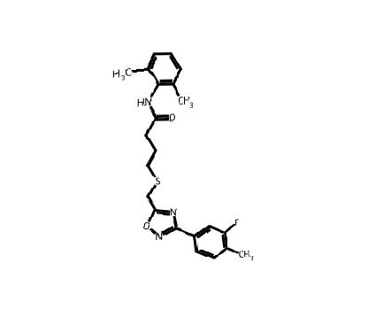 Cc1ccc(-c2noc(CSCCCC(=O)Nc3c(C)cccc3C)n2)cc1F